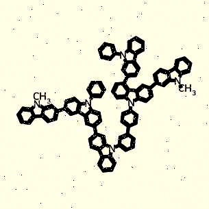 Cn1c2ccccc2c2ccc(-c3ccc4c(c3)c3cc(-c5ccc6c7ccccc7n(-c7cccc(-c8ccc(-n9c%10ccc(-c%11ccc%12c%13ccccc%13n(C)c%12c%11)cc%10c%10c(-c%11ccc%12c%13ccccc%13n(-c%13ccccc%13)c%12c%11)cccc%109)cc8)c7)c6c5)ccc3n4-c3ccccc3)cc21